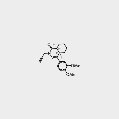 C#CCN1N=C(c2ccc(OC)c(OC)c2)[C@@H]2CCCC[C@@H]2C1=O